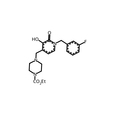 CCOC(=O)N1CCN(Cc2ccn(Cc3cccc(F)c3)c(=O)c2O)CC1